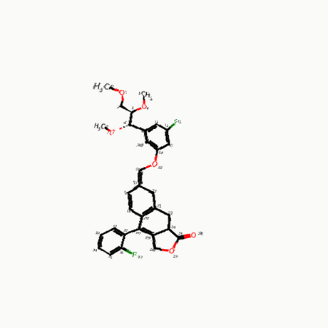 COC[C@@H](OC)[C@@H](OC)c1cc(F)cc(OC=C2C=CC3=C(C2)CC2C(=O)OCC2=C3c2ccccc2F)c1